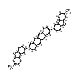 FC(F)(F)c1ccc2c(c1)oc1ccc(-c3ccc4cc5cc6cc(-c7ccc8oc9cc(C(F)(F)F)ccc9c8c7)ccc6cc5cc4c3)cc12